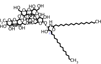 CCCCCCCCCCCCC/C=C/[C@@H](O)[C@H](CO[C@@H]1OC(CO)[C@@H](O[C@@H]2OC(CO)[C@H](O)[C@H](O[C@@H]3OC(CO)[C@@H](O[C@@H]4OC(CO)[C@H](O)[C@H](O)C4O[C@H]4OC(C)[C@@H](O)C(O)[C@@H]4O)[C@H](O)C3NC(C)=O)C2O)[C@H](O)C1O)NC(=O)CCCCCCCCCCCCCCCCC